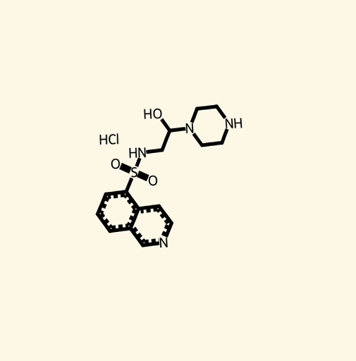 Cl.O=S(=O)(NCC(O)N1CCNCC1)c1cccc2cnccc12